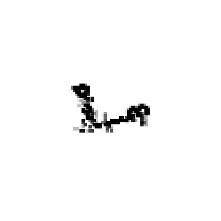 Cc1cccc(S(=O)(=O)N2CC(C(=O)N[C@H](CNC(=O)CCCCc3ccc4c(n3)NCCC4)C(=O)O)C2)c1